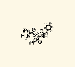 CC(C)OC(=O)[C@H](CSC(=O)[C@@H](N)C(C)C)NC(=O)Cc1ccccc1